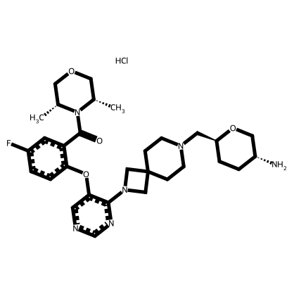 C[C@@H]1COC[C@H](C)N1C(=O)c1cc(F)ccc1Oc1cncnc1N1CC2(CCN(C[C@@H]3CC[C@@H](N)CO3)CC2)C1.Cl